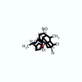 CCC1C2C(C)C3[C@@H]4C([C@H](C)C[C@@H]3N=O)[C@@]2(C(CC)CC2=C\C=C/C=C\C=C\2C)C[C@@H]14